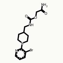 NC(=O)COC(=O)NCC1CCN(c2ncccc2Br)CC1